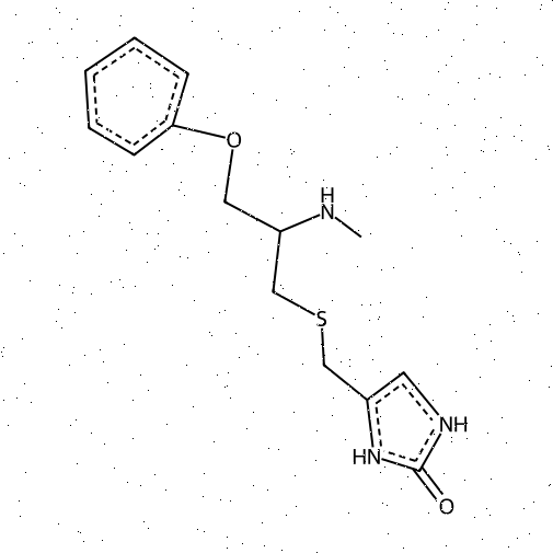 CNC(COc1ccccc1)CSCc1c[nH]c(=O)[nH]1